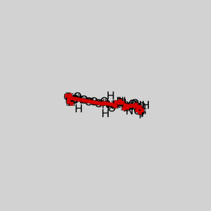 N#C[C@@H]1CC(F)(F)CN1C(=O)[C@@H]1C[C@@H](CC(=O)N2Cc3cccc(Cn4cc(-c5ccc(C(=O)NCCNC(=O)CCOCCOCCOCCOCCNC(=O)OCC6c7ccccc7-c7ccccc76)cc5)nn4)c3C2)C(=O)N1